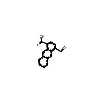 O=Cc1ccc(C(=O)O)c2cc3ccccc3cc12